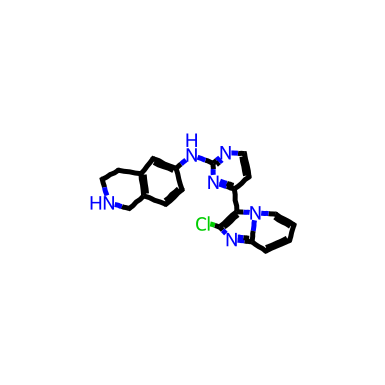 Clc1nc2ccccn2c1-c1ccnc(Nc2ccc3c(c2)CCNC3)n1